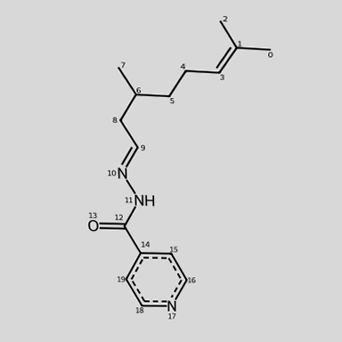 CC(C)=CCCC(C)C/C=N/NC(=O)c1ccncc1